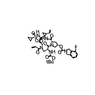 C=CCN(C[C@H](NC(=O)OC(C)(C)C)C(=O)N1C[C@H](OC(=O)N2Cc3cccc(F)c3C2)C[C@H]1C(=O)N[C@]1(C(=O)NS(=O)(=O)C2CC2)C[C@H]1C=C)C(=O)C=C